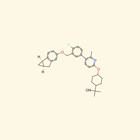 Cc1nc(OC2CCC(C(C)(C)N=O)CC2)ccc1-c1ccc(F)c(COc2ccc3c(c2)C[C@H]2C[C@@H]32)c1